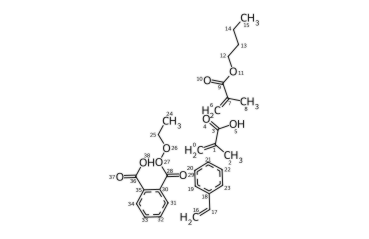 C=C(C)C(=O)O.C=C(C)C(=O)OCCCC.C=Cc1ccccc1.CCOOC(=O)c1ccccc1C(=O)O